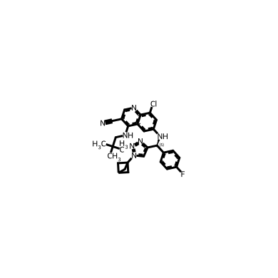 CC(C)(C)CNc1c(C#N)cnc2c(Cl)cc(N[C@@H](c3ccc(F)cc3)c3cn(C45CC(C4)C5)nn3)cc12